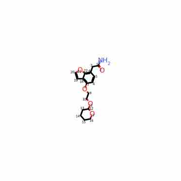 NC(=O)Cc1ccc(OCCOC2CCCCO2)c2ccoc12